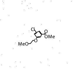 COCCOc1cc(Cl)cc(C(=O)OC)c1